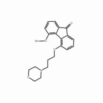 CCCOc1cccc2c1-c1c(OCCCN3CCOCC3)cccc1C2=O